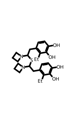 CCc1c(CC(SC(Cc2ccc(O)c(O)c2CC)N2CCC2)N2CCC2)ccc(O)c1O